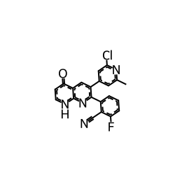 Cc1cc(-c2cc3c(=O)cc[nH]c3nc2-c2cccc(F)c2C#N)cc(Cl)n1